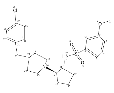 COc1cccc(S(=O)(=O)N[C@@H]2CCC[C@H]2N2CCC(Cc3ccc(Cl)cc3)CC2)c1